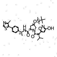 Cc1ncsc1-c1ccc([C@H](C)NC(=O)[C@@H]2C[C@@H](O[Si](C)(C)C(C)(C)C)CN2C(=O)[C@@H](c2cc(O)no2)C(C)C)cc1